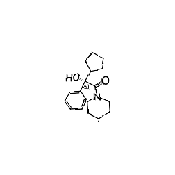 O=C(N1CC[CH]CC1)[C@@](O)(c1ccccc1)C1CCCC1